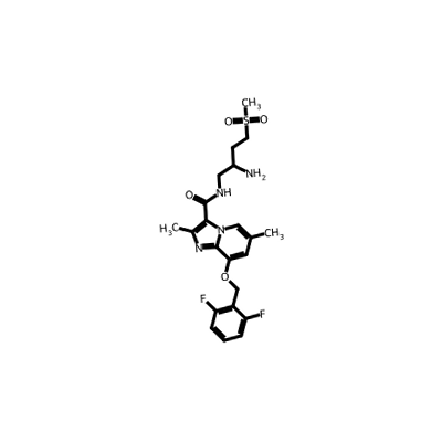 Cc1cc(OCc2c(F)cccc2F)c2nc(C)c(C(=O)NCC(N)CCS(C)(=O)=O)n2c1